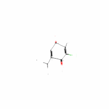 CC1=C(Cl)C(=O)C(C(C)C)=CC1=O